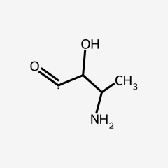 CC(N)C(O)[C]=O